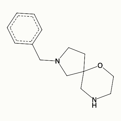 c1ccc(CN2CCC3(CNCCO3)C2)cc1